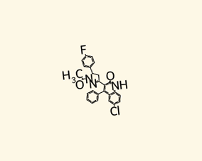 CC(=O)N1N=C(c2c(-c3ccccc3)c3cc(Cl)ccc3[nH]c2=O)CC1c1ccc(F)cc1